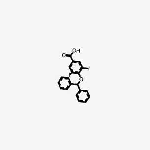 O=C(O)c1cc(I)c(OC(c2ccccc2)c2ccccc2)c(I)c1